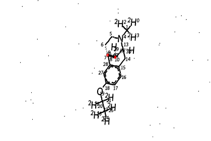 [2H]C([2H])([2H])N1CC[C@@]23CCCC[C@@H]2[C@@H]1Cc1ccc(OC([2H])([2H])C([2H])([2H])[2H])cc13